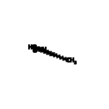 CCCCCCCCCCCCCCC=CC=CNCCC(=O)O